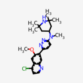 COc1cc2c(Cl)ccnc2cc1-c1ccc(N(C)C2CC(C)(C)NC(C)(C)C2)nn1